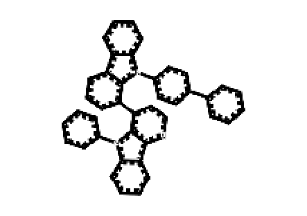 c1ccc(-c2ccc(-n3c4ccccc4c4cccc(-c5ccnc6c7ccccc7n(-c7ccccc7)c56)c43)cc2)cc1